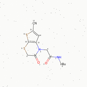 CCCCNC(=O)CN1C(=O)CSc2sc(C#N)cc21